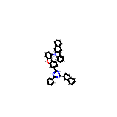 c1ccc(-c2nc(-c3ccc4ccccc4c3)nc(-c3ccc4c(c3)oc3cccc(-n5c6ccccc6c6cc7ccccc7cc65)c34)n2)cc1